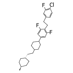 C[C@H]1CC[C@H](CCC2CCC(c3cc(F)c(CCc4ccc(Cl)c(F)c4)c(F)c3)CC2)CC1